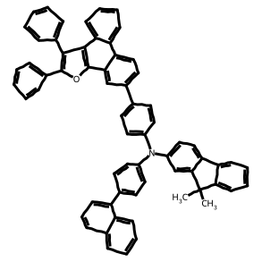 CC1(C)c2ccccc2-c2ccc(N(c3ccc(-c4ccc5c6ccccc6c6c(-c7ccccc7)c(-c7ccccc7)oc6c5c4)cc3)c3ccc(-c4cccc5ccccc45)cc3)cc21